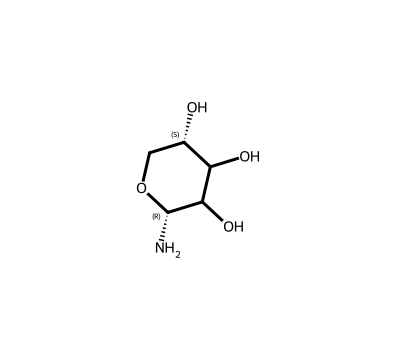 N[C@@H]1OC[C@H](O)C(O)C1O